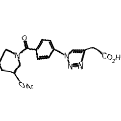 CC(=O)OC1CCCN(C(=O)c2ccc(-n3cc(CC(=O)O)nn3)cc2)C1